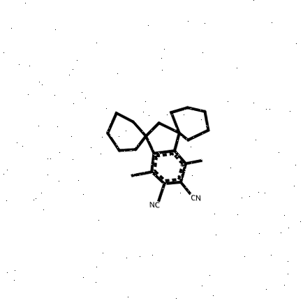 Cc1c(C#N)c(C#N)c(C)c2c1C1(CCCCC1)CC21CCCCC1